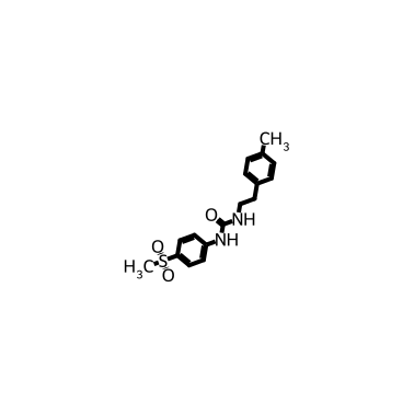 Cc1ccc(CCNC(=O)Nc2ccc(S(C)(=O)=O)cc2)cc1